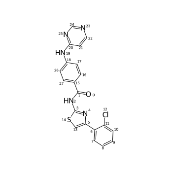 O=C(Nc1nc(-c2ccccc2Cl)cs1)c1ccc(Nc2ccncn2)cc1